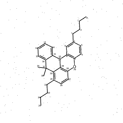 CCCCc1ccc2c(c1)B1c3ccccc3C(C)(C)c3c(CCCC)ccc(c31)O2